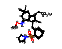 CC1=C(Cc2ccccc2S(=O)(=O)N2CCCC2)C2=C(CC(C)(C)C/C2=N\OC(C)(C)C)C1CC(=O)O